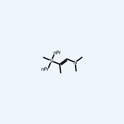 CCC[Si](C)(CCC)C(C)=CN(C)C